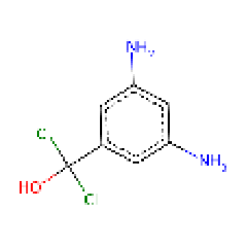 Nc1cc(N)cc(C(O)(Cl)Cl)c1